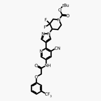 CC(C)(C)OC(=O)N1CCC(n2cc(-c3ncc(NC(=O)COc4cccc(C(F)(F)F)c4)cc3C#N)cn2)C(F)(F)C1